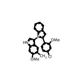 COc1cc2[nH]cc(-n3c(-c4ccc(Cl)cc4OC)[c]c4ccccc43)c2cc1C